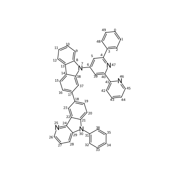 c1ccc(-c2cc(-n3c4ccccc4c4ccc(-c5ccc6c(c5)c5ncccc5n6-c5ccccc5)cc43)cc(-c3ccccn3)n2)cc1